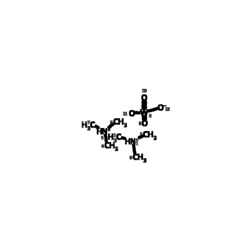 C[NH+](C)C.C[NH+](C)C.[O]=[W](=[O])([O-])[O-]